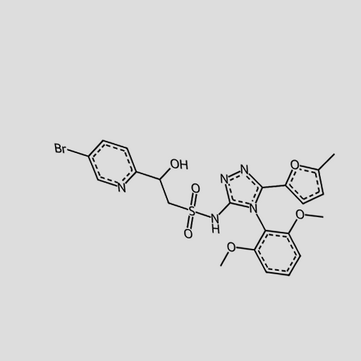 COc1cccc(OC)c1-n1c(NS(=O)(=O)CC(O)c2ccc(Br)cn2)nnc1-c1ccc(C)o1